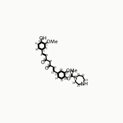 COc1cc(C=CC(=O)CC(=O)C=Cc2ccc(OC(=O)N3CCCNCC3)c(OC)c2)ccc1O